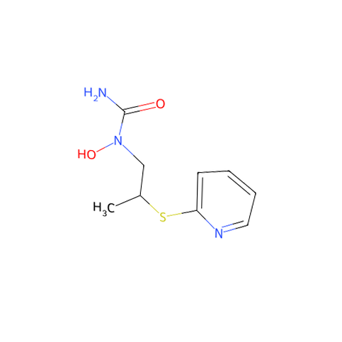 CC(CN(O)C(N)=O)Sc1ccccn1